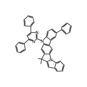 CC1(C)c2cc3c(cc2-n2c1cc1ccccc12)c1cc(-c2ccccc2)ccc1n3-c1nc(-c2ccccc2)cc(-c2ccccc2)n1